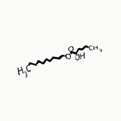 CCCCCCCCCCOC(=O)C(O)CCCC